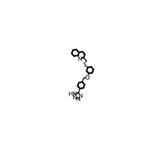 c1cc(OCc2ccc(-c3nnn[nH]3)cc2)cc(SCc2ccc3ccccc3n2)c1